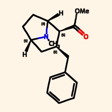 COC(=O)[C@H]1[C@@H](Cc2ccccc2)C[C@@H]2CC[C@H]1N2C